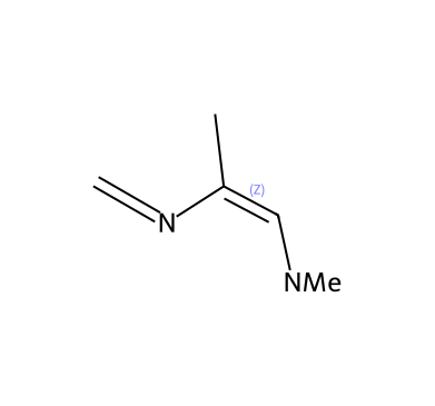 C=N/C(C)=C\NC